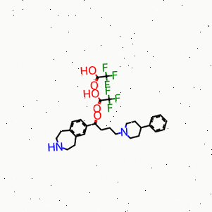 O=C(CCCN1CCC(c2ccccc2)CC1)c1ccc2c(c1)CCNCC2.O=C(O)C(F)(F)F.O=C(O)C(F)(F)F